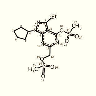 CCc1nn(C2CCCC2)c2nc(COS(C)(=O)=O)nc(OS(C)(=O)=O)c12